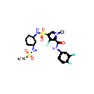 CNS(=O)(=O)NC1CCCC(NS(=O)(=O)c2cn(C)c(C(=O)Nc3ccc(F)c(F)c3)c2F)C1